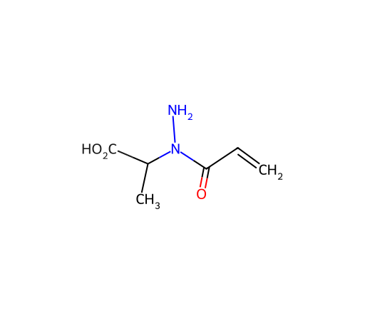 C=CC(=O)N(N)C(C)C(=O)O